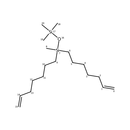 C=CCCCCC[Si](C)(CCCCCC=C)O[Si](C)(C)C